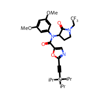 COc1cc(OC)cc(N(C(=O)c2cnc(C#C[Si](C(C)C)(C(C)C)C(C)C)o2)C2CCN(CC(F)(F)F)C2=O)c1